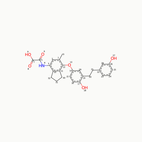 Cc1cc(NC(=O)C(=O)O)c2c(c1Oc1ccc(O)c(CCc3cccc(O)c3)c1)CCC2